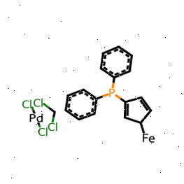 ClCCl.[Cl][Pd][Cl].[Fe][CH]1C=CC(P(c2ccccc2)c2ccccc2)=C1